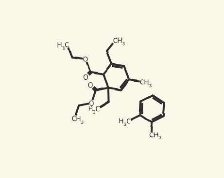 CCOC(=O)C1C(CC)=CC(C)=CC1(CC)C(=O)OCC.Cc1ccccc1C